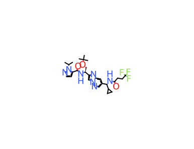 CC(C)n1nccc1C(=O)N[C@@H](COC(C)(C)C)c1cn2ncc([C@@H](NC(=O)CCC(F)(F)F)C3CC3)cc2n1